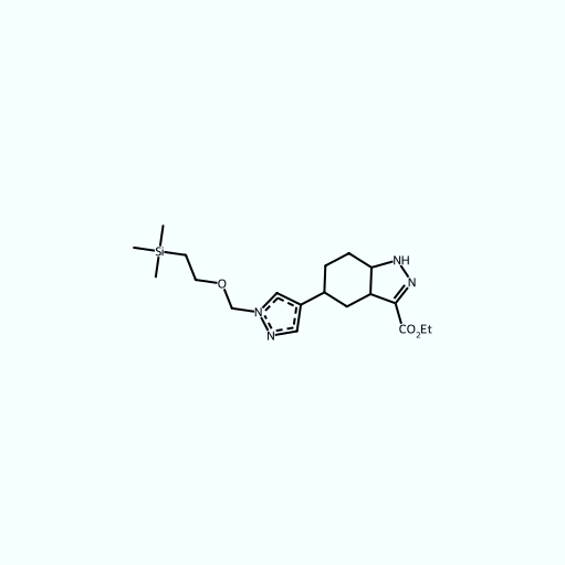 CCOC(=O)C1=NNC2CCC(c3cnn(COCC[Si](C)(C)C)c3)CC12